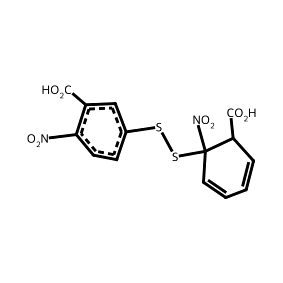 O=C(O)c1cc(SSC2([N+](=O)[O-])C=CC=CC2C(=O)O)ccc1[N+](=O)[O-]